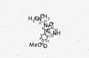 COC(=O)c1ccc(N2CN(CCN(C)C)C(=O)C23CCNCC3)cc1